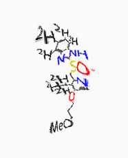 [2H]c1c([2H])c([2H])c2[nH]c([S+]([O-])Cc3nccc(OCCCOC)c3C([2H])([2H])[2H])nc2c1[2H]